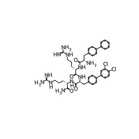 N=C(N)NCCC[C@H](NC(=O)[C@H](Cc1ccc(-c2ccc(Cl)c(Cl)c2)cc1)NC(=O)[C@H](CCCNC(=N)N)NC(=O)[C@@H](N)Cc1ccc(-c2ccccc2)cc1)C(N)=O